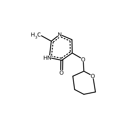 Cc1ncc(OC2CCCCO2)c(=O)[nH]1